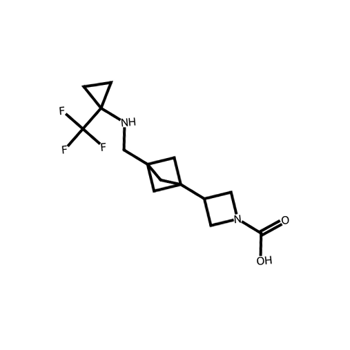 O=C(O)N1CC(C23CC(CNC4(C(F)(F)F)CC4)(C2)C3)C1